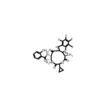 C[C@H]1NC(=O)C(C2CC2)OC(=O)[C@H](C)[C@@H]2Oc3c(F)c(F)c(F)c(F)c3C[C@@H]2NC(=O)[C@H]1NC(=O)c1ccccc1O